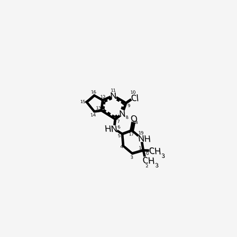 CC1(C)CCC(Nc2nc(Cl)nc3c2CCC3)C(=O)N1